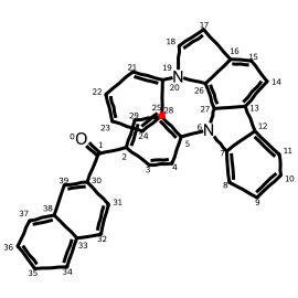 O=C(c1ccc(-n2c3ccccc3c3ccc4ccn(-c5ccccc5)c4c32)cc1)c1ccc2ccccc2c1